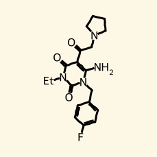 CCn1c(=O)c(C(=O)CN2CCCC2)c(N)n(Cc2ccc(F)cc2)c1=O